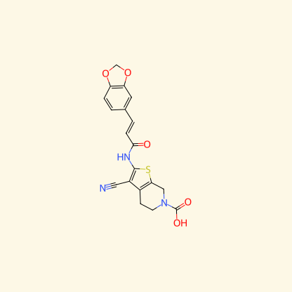 N#Cc1c(NC(=O)C=Cc2ccc3c(c2)OCO3)sc2c1CCN(C(=O)O)C2